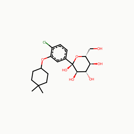 CC1(C)CCC(Oc2cc([C@]3(O)O[C@H](CO)[C@@H](O)[C@H](O)[C@H]3O)ccc2Cl)CC1